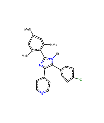 CCn1c(-c2c(NC)cc(NC)cc2NC)nc(-c2ccncc2)c1-c1ccc(Cl)cc1